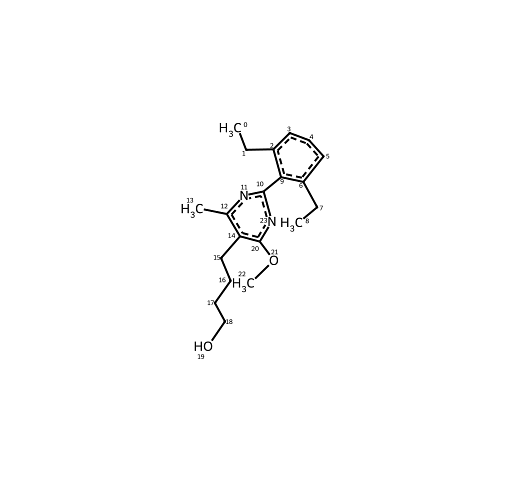 CCc1cccc(CC)c1-c1nc(C)c(CCCCO)c(OC)n1